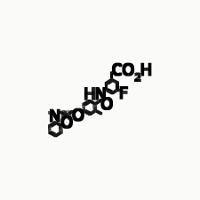 Cc1cc(OC[C@@H]2CN(C)c3ccccc3O2)ccc1C(=O)Nc1cc(F)cc(CC(=O)O)c1